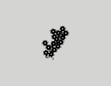 Cc1ccccc1-c1cccc2c1oc1c(N(c3cccc(-c4ccccc4)c3)c3ccc4c(c3)C(c3ccccc3)(c3ccccc3)c3cc(N(c5cccc(-c6ccccc6)c5)c5cccc6c5oc5c(-c7ccccc7C)cccc56)c5ccccc5c3-4)cccc12